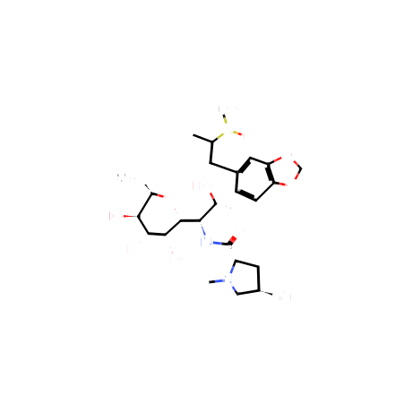 CCCCCCCC[S+]([O-])C(C)Cc1ccc2c(c1)OCO2.CCC[C@@H]1C[C@@H](C(=O)N[C@@H]([C@H]2O[C@H](SC)[C@H](O)[C@@H](O)[C@H]2O)[C@@H](C)O)N(C)C1